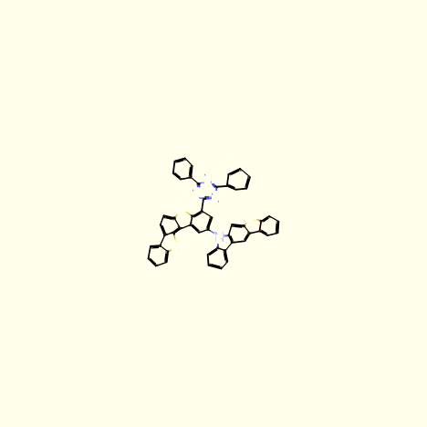 c1ccc(-c2nc(-c3ccccc3)nc(-c3cc(-n4c5ccccc5c5cc6c(cc54)sc4ccccc46)cc4c3sc3ccc5c6ccccc6sc5c34)n2)cc1